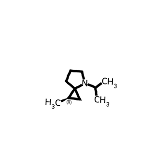 CC(C)N1CCCC12C[C@H]2C